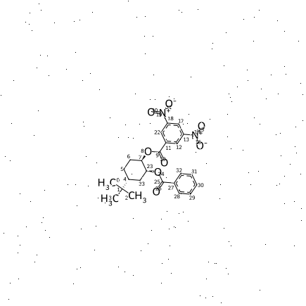 CC(C)(C)[C@@H]1CC[C@@H](OC(=O)c2cc([N+](=O)[O-])cc([N+](=O)[O-])c2)[C@@H](OC(=O)c2ccccc2)C1